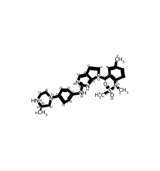 Cc1ccc(N(C)S(C)(=O)=O)c(Cn2ccc3cnc(Nc4ccc(N5CCN[C@H](C)C5)cc4)nc32)c1